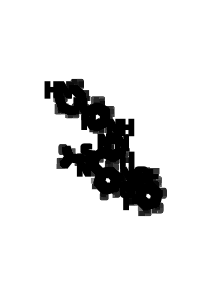 CC(C)c1nc(-c2cccc(NS(=O)(=O)c3c(F)cccc3F)c2)c(-c2ccnc(Nc3ccc(N4CCCNCC4)nc3)n2)s1